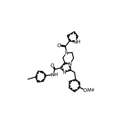 COc1cccc(Cc2nc(C(=O)Nc3ccc(C)cc3)c3n2CCN(C(=O)c2ccc[nH]2)C3)c1